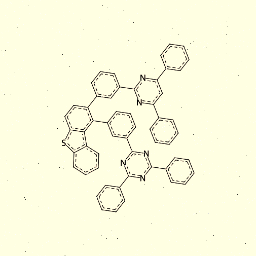 c1ccc(-c2cc(-c3ccccc3)nc(-c3cccc(-c4ccc5sc6ccccc6c5c4-c4cccc(-c5nc(-c6ccccc6)nc(-c6ccccc6)n5)c4)c3)n2)cc1